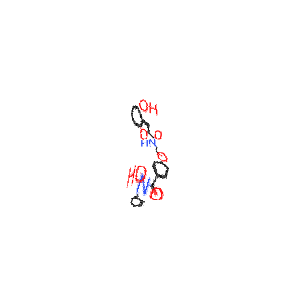 O=C(NCCOc1ccc(C(=O)N(O)c2ccccc2)cc1)c1cc2c(O)cccc2o1